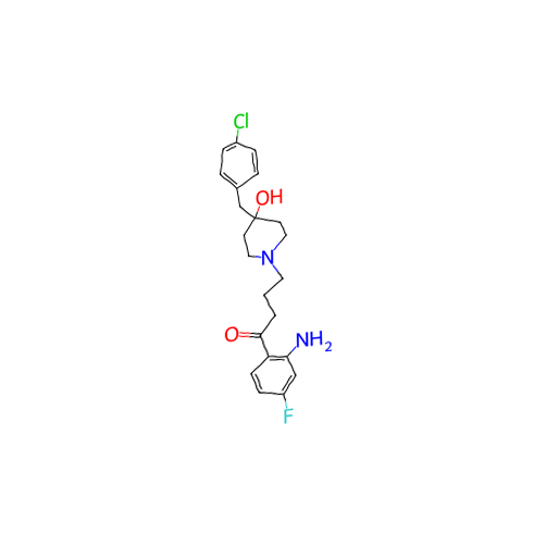 Nc1cc(F)ccc1C(=O)CCCN1CCC(O)(Cc2ccc(Cl)cc2)CC1